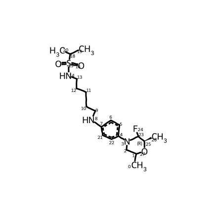 CC1CN(c2ccc(NCCCCCNS(=O)(=O)C(C)C)cc2)C(F)[C@@H](C)O1